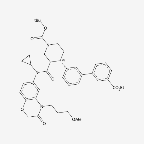 CCOC(=O)c1cccc(-c2cccc([C@H]3CCN(C(=O)OC(C)(C)C)CC3C(=O)N(c3ccc4c(c3)N(CCCOC)C(=O)CO4)C3CC3)c2)c1